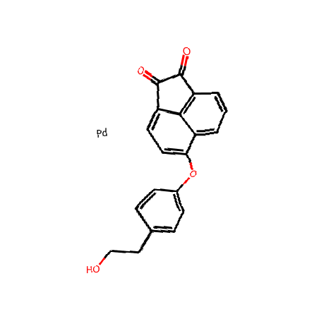 O=C1C(=O)c2ccc(Oc3ccc(CCO)cc3)c3cccc1c23.[Pd]